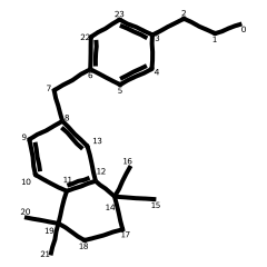 CCCc1ccc(Cc2ccc3c(c2)C(C)(C)CCC3(C)C)cc1